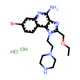 CCOCc1nc2c(N)nc3cc(Br)ccc3c2n1CCN1CCNCC1.Cl.Cl